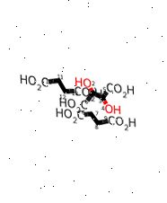 O=C(O)C(O)C(O)C(=O)O.O=C(O)CCC(=O)O.O=C(O)CCC(=O)O